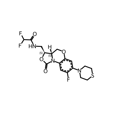 O=C(NC[C@@H]1OC(=O)N2c3cc(F)c(N4CCSCC4)cc3OC[C@@H]12)C(F)F